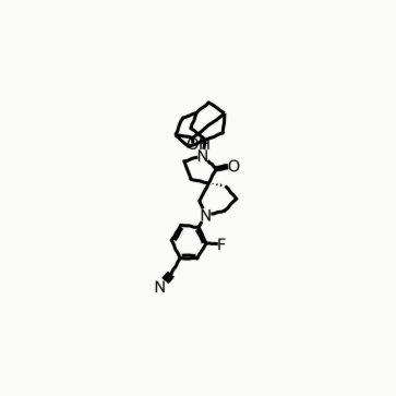 N#Cc1ccc(N2CCC[C@@]3(CCN(C45CC6CC(C4)C(O)C(C6)C5)C3=O)C2)c(F)c1